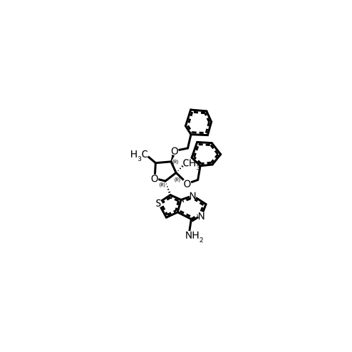 CC1O[C@@H](c2scc3c(N)ncnc23)[C@](C)(OCc2ccccc2)[C@@H]1OCc1ccccc1